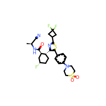 C[C@@H](C#N)NC(=O)[C@@H]1C[C@@H](F)CC[C@H]1c1nc(C2CC(F)(F)C2)sc1-c1ccc(N2CCS(=O)(=O)CC2)cc1